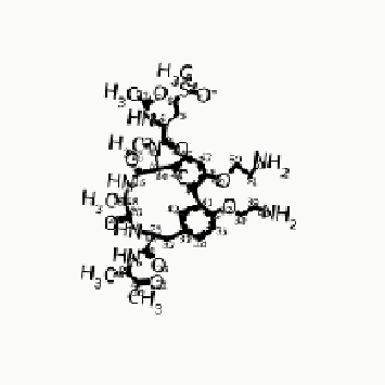 CC(=O)N[C@@H](CC[S+](C)[O-])C(=O)N(C)[C@@H]1C(=O)N[C@@H](C)C(=O)N[C@H](C(=O)N[C@@H](C)C(C)=O)Cc2ccc(OCCN)c(c2)-c2cc1ccc2OCCN